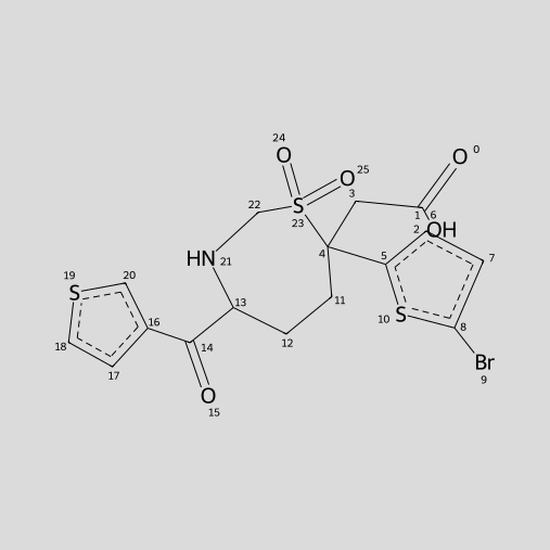 O=C(O)CC1(c2ccc(Br)s2)CCC(C(=O)c2ccsc2)NCS1(=O)=O